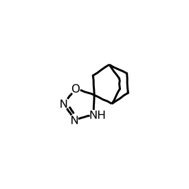 C1CC2CCC1CC21NN=NO1